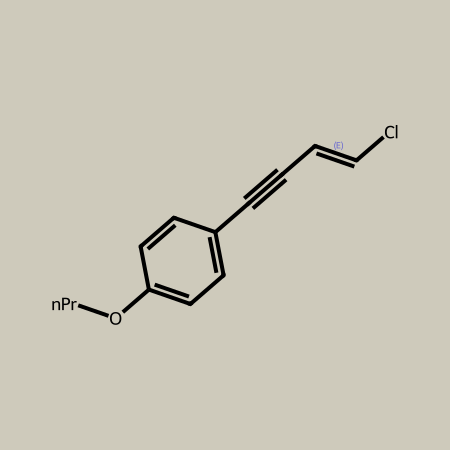 CCCOc1ccc(C#C/C=C/Cl)cc1